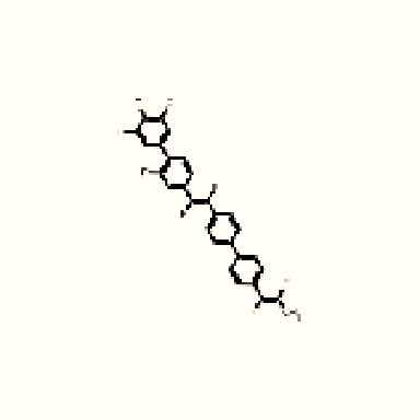 C/C(F)=C(\F)c1ccc(-c2ccc(/C(F)=C(\F)c3ccc(-c4cc(F)c(F)c(F)c4)c(F)c3)cc2)cc1